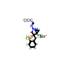 O=C([O-])C=NNCC(O)(Cc1ccccc1Cl)C1(Cl)CC1.[Na+]